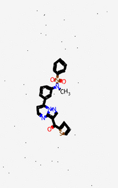 CN(c1cccc(-c2ccnc3c(C(=O)c4cccs4)cnn23)c1)S(=O)(=O)c1ccccc1